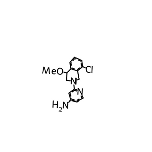 COC1CN(c2cc(N)ccn2)Cc2c(Cl)cccc21